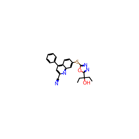 CCC(O)(CC)c1nnc(Sc2ccc3c(-c4ccccc4)cc(C#N)nc3c2)o1